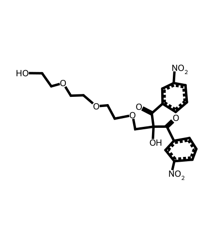 O=C(c1cccc([N+](=O)[O-])c1)C(O)(COCCOCCOCCO)C(=O)c1cccc([N+](=O)[O-])c1